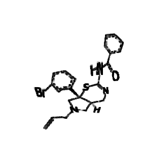 C=CCN1C[C@@H]2CN=C(NC(=O)c3ccccc3)S[C@@]2(c2cccc(Br)c2)C1